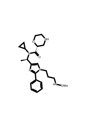 CONCCCn1cc([C@@H](C)N(C(=O)[C@H]2CNCCO2)C2CC2)nc1-c1ccccc1